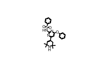 CC1(C)C=C(c2cc(Oc3ccccc3)nc(NS(=O)(=O)c3ccccc3)n2)CC(C)(C)N1